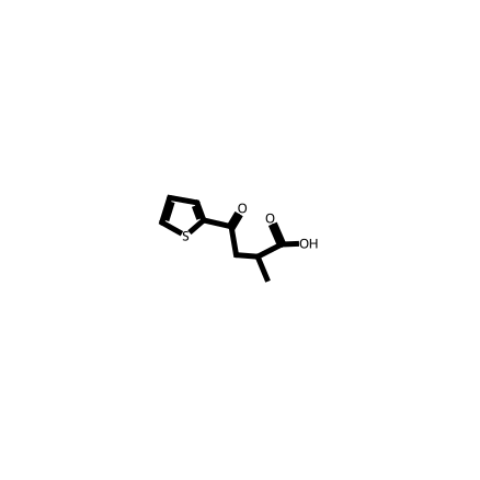 CC(CC(=O)c1cccs1)C(=O)O